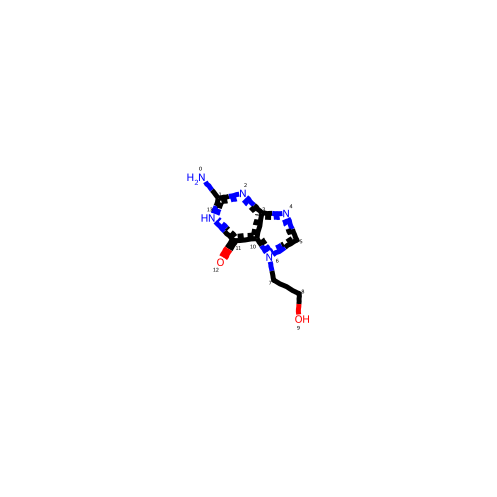 Nc1nc2ncn(CCO)c2c(=O)[nH]1